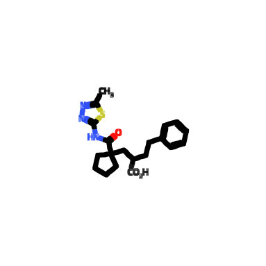 Cc1nnc(NC(=O)C2(CC(CCc3ccccc3)C(=O)O)CCCC2)s1